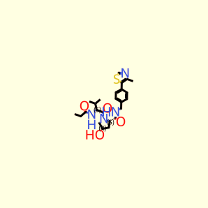 CCC(=O)N[C@H](C(=O)N1C[C@H](O)C[C@H]1C(=O)NCc1ccc(-c2scnc2C)cc1)C(C)C